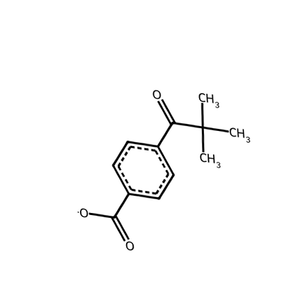 CC(C)(C)C(=O)c1ccc(C([O])=O)cc1